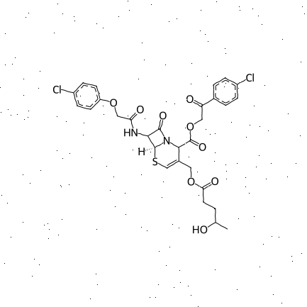 CC(O)CCC(=O)OCC1=CS[C@H]2C(NC(=O)COc3ccc(Cl)cc3)C(=O)N2C1C(=O)OCC(=O)c1ccc(Cl)cc1